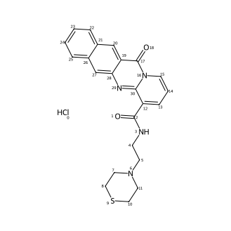 Cl.O=C(NCCN1CCSCC1)c1cccn2c(=O)c3cc4ccccc4cc3nc12